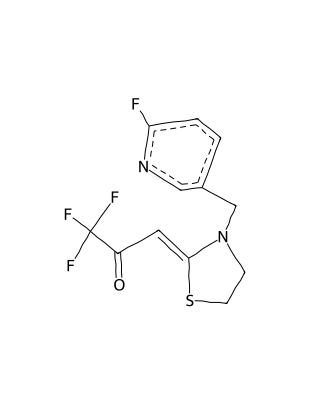 O=C(C=C1SCCN1Cc1ccc(F)nc1)C(F)(F)F